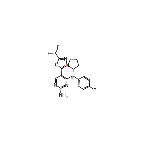 Nc1ncc(-c2nnc(C(F)F)o2)c([C@@H](c2ccc(F)cc2)C2CCCC2)n1